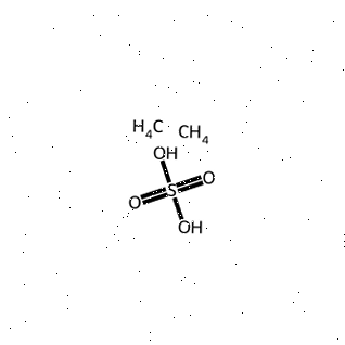 C.C.O=S(=O)(O)O